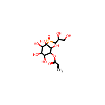 C=CC(=O)OC1C(O)C(O)C(O)C(O)([PH](=O)CC(O)CO)C1O